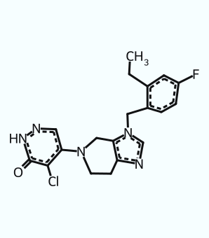 CCc1cc(F)ccc1Cn1cnc2c1CN(c1cn[nH]c(=O)c1Cl)CC2